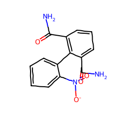 NC(=O)c1cccc(C(N)=O)c1-c1ccccc1[N+](=O)[O-]